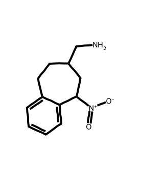 NCC1CCc2ccccc2C([N+](=O)[O-])C1